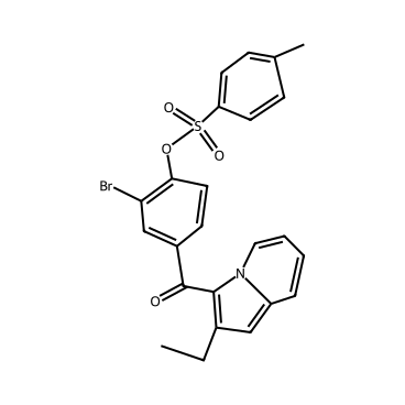 CCc1cc2ccccn2c1C(=O)c1ccc(OS(=O)(=O)c2ccc(C)cc2)c(Br)c1